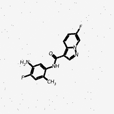 Cc1cc(F)c(N)cc1NC(=O)c1cnn2cc(F)ccc12